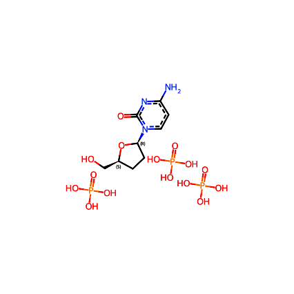 Nc1ccn([C@H]2CC[C@@H](CO)O2)c(=O)n1.O=P(O)(O)O.O=P(O)(O)O.O=P(O)(O)O